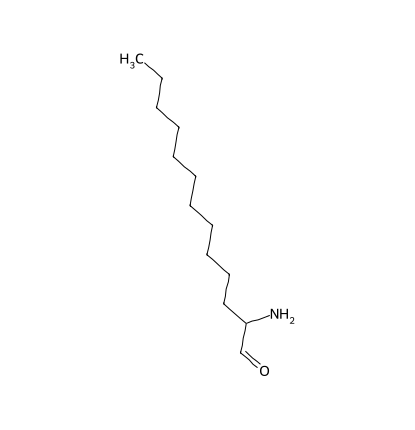 CCCCCCCCCCCC(N)C=O